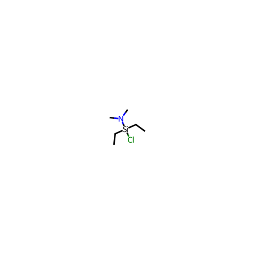 CC[Si](Cl)(CC)N(C)C